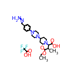 CCOC(=O)C(C)C(C(=O)O)N1CCC(N2CCN(c3ccc(C=NN)cc3)CC2)CC1.O=C(O)C(F)(F)F